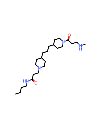 CCCCNC(=O)CCN1CCC(CCCC2CCN(C(=O)CCNC)CC2)CC1